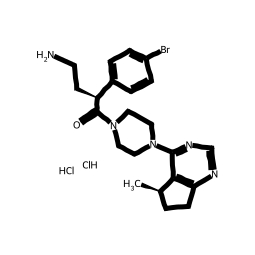 C[C@@H]1CCc2ncnc(N3CCN(C(=O)[C@@H](CCN)c4ccc(Br)cc4)CC3)c21.Cl.Cl